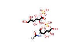 CC(=O)N[C@H](C=O)[C@@H](O)[C@H](OS(=O)(=O)O)[C@H](O)CO.O=C(OS(=O)(=O)O)[C@@H](O)[C@@H](O)[C@H](O)[C@H](O)CO